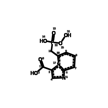 O=C(O)c1cnc2cccc(CP(=O)(O)OO)n12